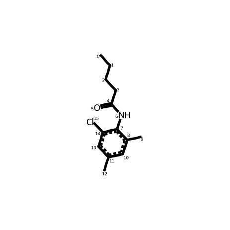 CCCCC(=O)Nc1c(C)cc(C)cc1Cl